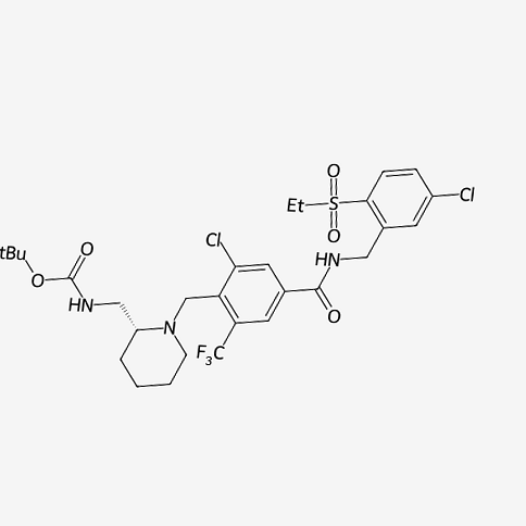 CCS(=O)(=O)c1ccc(Cl)cc1CNC(=O)c1cc(Cl)c(CN2CCCC[C@@H]2CNC(=O)OC(C)(C)C)c(C(F)(F)F)c1